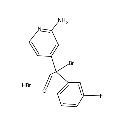 Br.Nc1cc(C(Br)(C=O)c2cccc(F)c2)ccn1